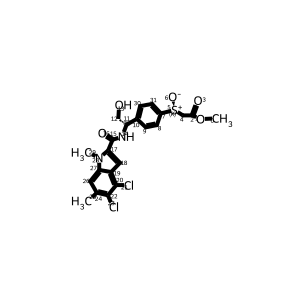 COC(=O)C[S@+]([O-])c1ccc([C@@H](CO)NC(=O)c2cc3c(Cl)c(Cl)c(C)cc3n2C)cc1